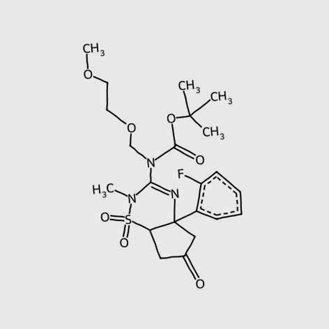 COCCOCN(C(=O)OC(C)(C)C)C1=NC2(c3ccccc3F)CC(=O)CC2S(=O)(=O)N1C